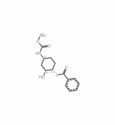 CC(C)(C)OC(=O)N[C@H]1CC[C@H](SC(=O)c2ccccc2)[C@@H](O)C1